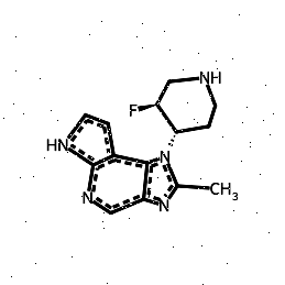 Cc1nc2cnc3[nH]ccc3c2n1[C@H]1CCNC[C@@H]1F